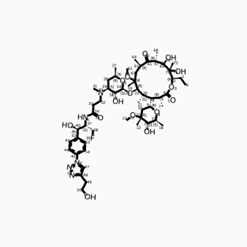 CC[C@H]1OC(=O)[C@H](C)C([C@H]2C[C@@](C)(OC)[C@@H](O)[C@H](C)O2)[C@H](C)[C@@H](O[C@@H]2O[C@H](C)C[C@H](N(C)CCC(=O)N[C@H](CF)[C@H](O)c3ccc(-n4cc(CCO)nn4)cc3)[C@H]2O)[C@](C)(OC)C[C@@H](C)C(=O)[C@H](C)[C@@H](O)[C@]1(C)O